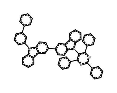 c1ccc(-c2cccc(-n3c4ccccc4c4cc(-c5ccc6c(c5)c5ccccc5n6-c5c(-c6ccccc6)nc(-c6ccccc6)nc5-c5ccccc5)ccc43)c2)cc1